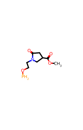 COC(=O)C1CC(=O)N(CCOP)C1